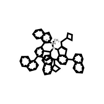 C[SiH](C)[Zr]([CH]1C(CC2CCC2)=Cc2c(-c3cccc4ccccc34)ccc(-c3cccc4ccccc34)c21)[CH]1C(CC2CCC2)=Cc2c(-c3cccc4ccccc34)ccc(-c3cccc4ccccc34)c21